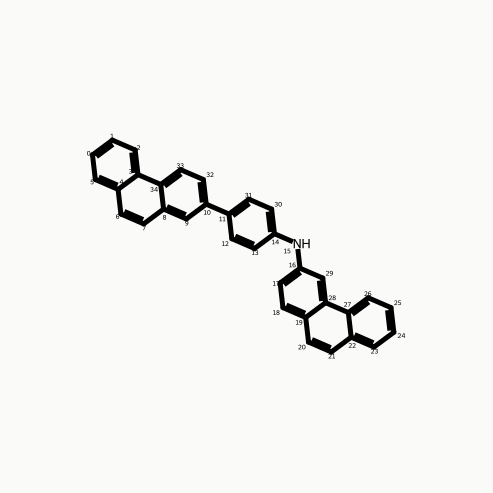 c1ccc2c(c1)ccc1cc(-c3ccc(Nc4ccc5ccc6ccccc6c5c4)cc3)ccc12